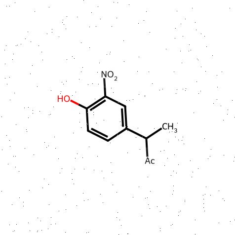 CC(=O)C(C)c1ccc(O)c([N+](=O)[O-])c1